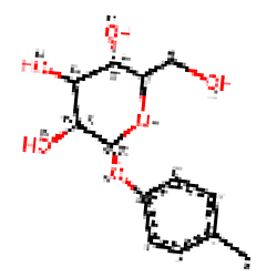 Cc1ccc(O[C@@H]2OC(CO)[C@@H](O)C(O)[C@@H]2O)cc1